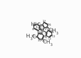 CC1=C([Si](c2ccccc2)(c2ccccc2)c2cc(C)cc(C)c2)C(C)C=C1